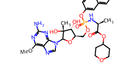 COc1nc(N)nc2c1ncn2C1O[C@H](COP(=O)(N[C@@H](C)C(=O)OC2CCOCC2)Oc2ccc3ncccc3c2)[C@@H](O)[C@@]1(C)O